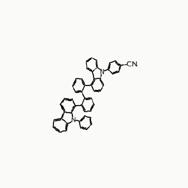 N#Cc1ccc(-n2c3ccccc3c3c(-c4ccccc4-c4ccccc4-c4cccc5c6ccccc6n(-c6ccccc6)c45)cccc32)cc1